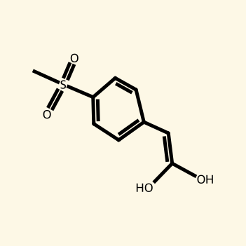 CS(=O)(=O)c1ccc(C=C(O)O)cc1